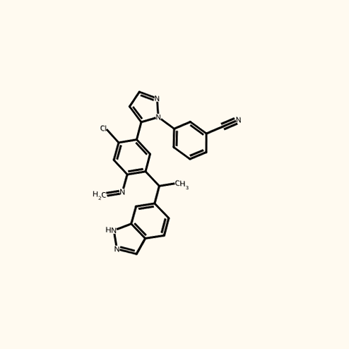 C=Nc1cc(Cl)c(-c2ccnn2-c2cccc(C#N)c2)cc1C(C)c1ccc2cn[nH]c2c1